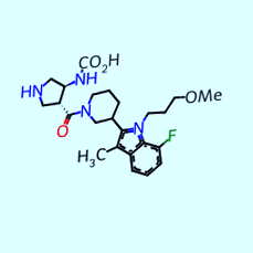 COCCCn1c(C2CCCN(C(=O)[C@@H]3CNC[C@H]3NC(=O)O)C2)c(C)c2cccc(F)c21